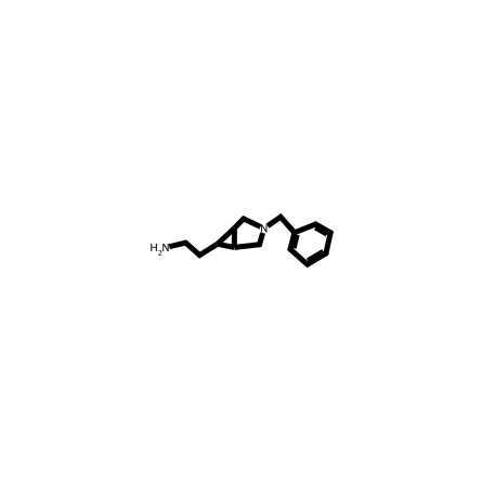 NCCC1C2CN(Cc3ccccc3)CC12